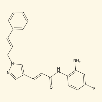 Nc1cc(F)ccc1NC(=O)C=Cc1cnn(CC=Cc2ccccc2)c1